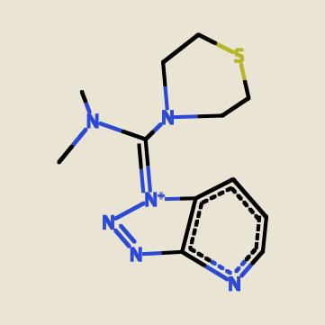 CN(C)C(N1CCSCC1)=[N+]1N=Nc2ncccc21